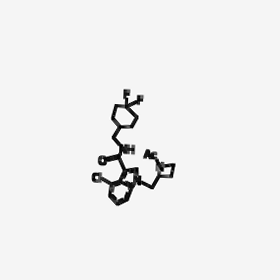 CC(=O)N1CCC1Cn1cc(C(=O)NCC2CCC(F)(F)CC2)c2c(Cl)cccc21